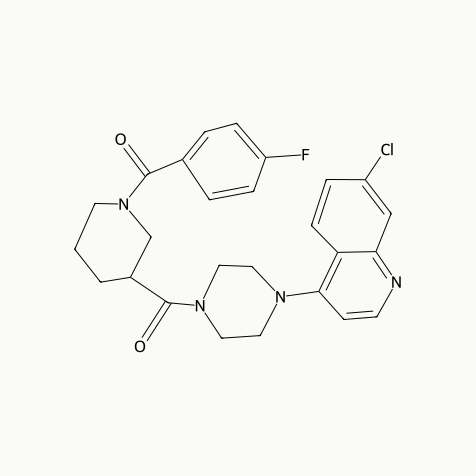 O=C(c1ccc(F)cc1)N1CCCC(C(=O)N2CCN(c3ccnc4cc(Cl)ccc34)CC2)C1